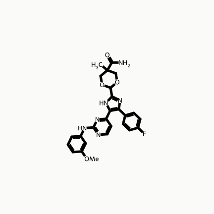 COc1cccc(Nc2nccc(-c3[nH]c(C4OCC(C)(C(N)=O)CO4)nc3-c3ccc(F)cc3)n2)c1